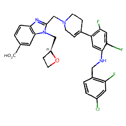 O=C(O)c1ccc2nc(CN3CC=C(c4cc(NCc5ccc(Cl)cc5F)c(F)cc4F)CC3)n(C[C@@H]3CCO3)c2c1